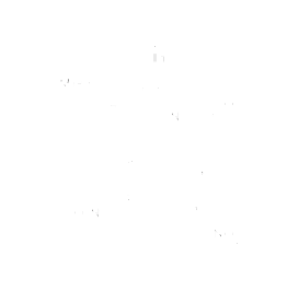 COC(=O)[C@H](C(C)C)N(C=O)c1cc([N+](=O)[O-])cc([N+](=O)[O-])c1